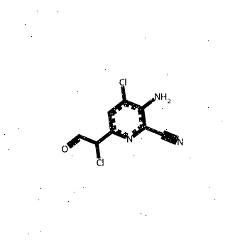 N#Cc1nc(C(Cl)C=O)cc(Cl)c1N